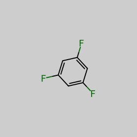 Fc1cc(F)cc(F)c1